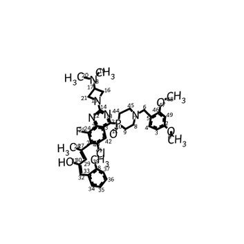 COc1ccc(CN2CCP(=O)(c3nc(N4CC(N(C)C)C4)nc4c(F)c(/C(C)=C/C(O)=C\c5ccccc5C)c(Cl)cc34)CC2)c(OC)c1